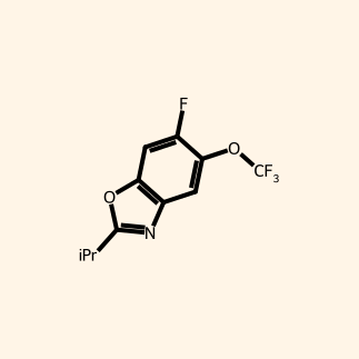 CC(C)c1nc2cc(OC(F)(F)F)c(F)cc2o1